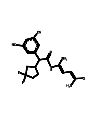 N#Cc1cc(C#N)cc(C(C(=O)N/C(N)=C/C=C(\N)Cl)C2CCC(F)(F)C2)c1